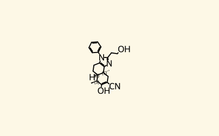 C[C@@H]1C(O)=C(C#N)C[C@]2(C)c3nc(CCO)n(-c4ccccc4)c3CC[C@@H]12